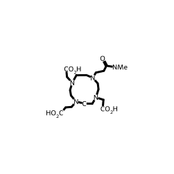 CNC(=O)CCN1CCN(CC(=O)O)CCN(CCC(=O)O)CCN(CC(=O)O)CC1